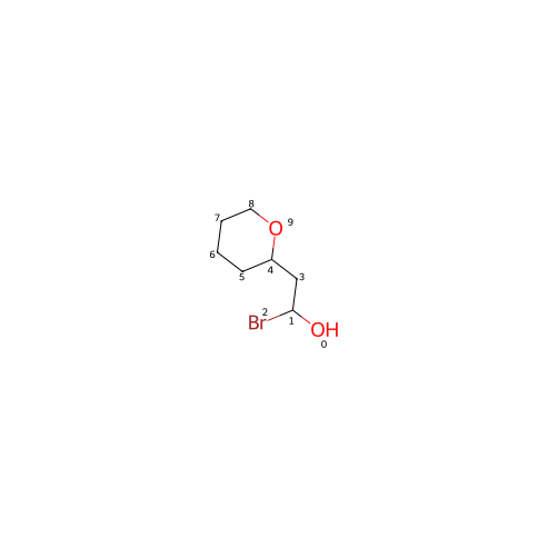 OC(Br)CC1CCCCO1